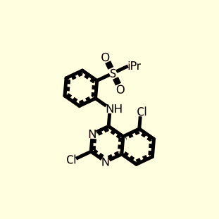 CC(C)S(=O)(=O)c1ccccc1Nc1nc(Cl)nc2cccc(Cl)c12